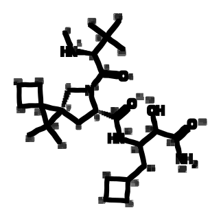 CN[C@H](C(=O)N1C[C@]2(C[C@H]1C(=O)NC(CC1CCC1)C(O)C(N)=O)C(C)(C)C21CCC1)C(C)(C)C